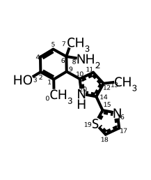 CC1=C(O)C=CC(C)(N)C1c1cc(C)c(-c2nccs2)[nH]1